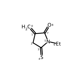 C=C1CC(=S)N(CC)C1=O